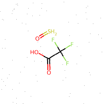 O=C(O)C(F)(F)F.O=[SH2]